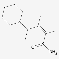 CC(C(N)=O)=C(C)C(C)N1CCCCC1